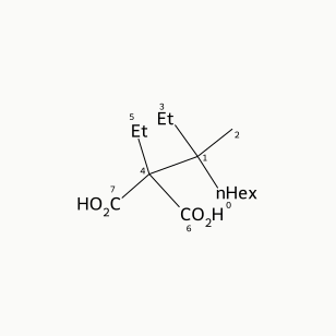 CCCCCCC(C)(CC)C(CC)(C(=O)O)C(=O)O